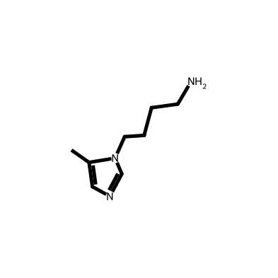 Cc1cncn1CCCCN